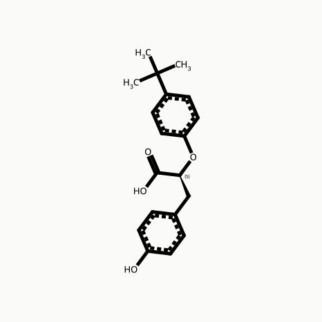 CC(C)(C)c1ccc(O[C@@H](Cc2ccc(O)cc2)C(=O)O)cc1